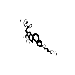 CCCCOc1ccc2c(c1)CCC1C2CC[C@]2(C)C(=O)C(CC(=O)OCC)CC12